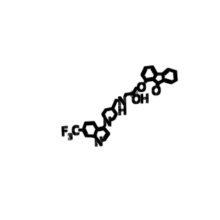 O=C1c2ccccc2-c2cccc(OC[C@@H](O)CNCC3CCN(c4ccnc5cc(C(F)(F)F)ccc45)CC3)c21